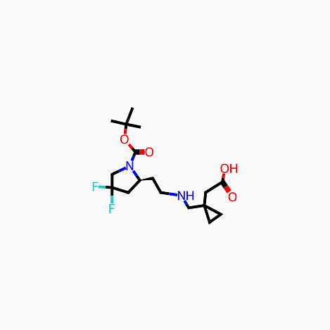 CC(C)(C)OC(=O)N1CC(F)(F)C[C@@H]1CCNCC1(CC(=O)O)CC1